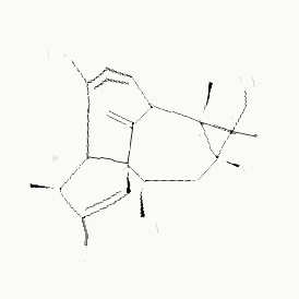 CC1=C[C@@H]2C(=O)[C@]3(C=C(C)[C@@H](O)[C@H]3C1)[C@H](C)C[C@@H]1[C@H]2C1(C)C